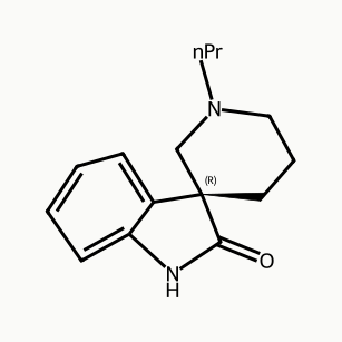 CCCN1CCC[C@@]2(C1)C(=O)Nc1ccccc12